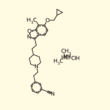 CNC.Cc1c(OCC2CC2)ccc2c(CCC3CCN(CCc4cccc(C#N)c4)CC3)noc12.Cl.Cl